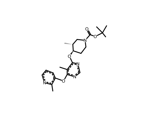 Cc1ncccc1Oc1ncnc(O[C@@H]2CCN(C(=O)OC(C)(C)C)C[C@H]2C)c1C